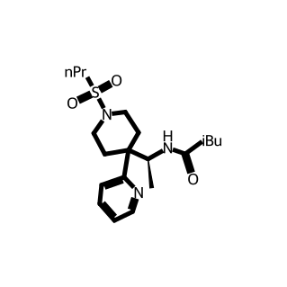 CCCS(=O)(=O)N1CCC(c2ccccn2)([C@H](C)NC(=O)C(C)CC)CC1